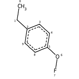 CCc1ccc(OF)cc1